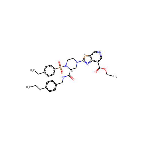 CCCc1ccc(CNC(=O)[C@H]2CN(c3nc4c(C(=O)OCC)cncc4s3)CCN2S(=O)(=O)c2ccc(CC)cc2)cc1